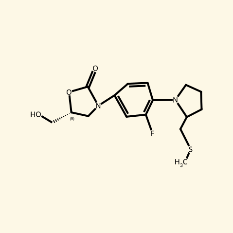 CSCC1CCCN1c1ccc(N2C[C@H](CO)OC2=O)cc1F